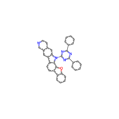 c1ccc(-c2nc(-c3ccccc3)nc(-n3c4cc5ccncc5cc4c4ccc5c6ccccc6oc5c43)n2)cc1